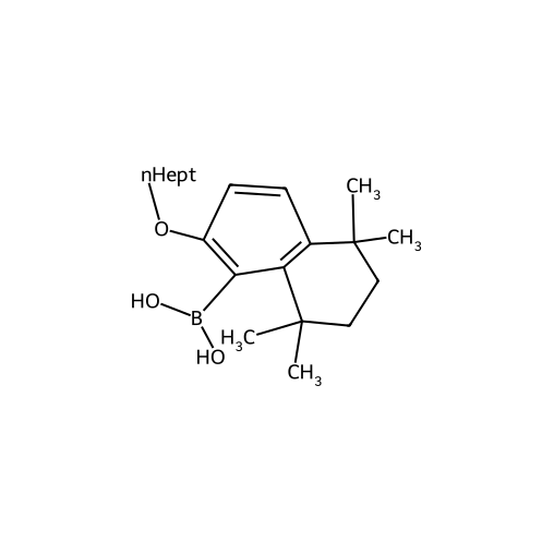 CCCCCCCOc1ccc2c(c1B(O)O)C(C)(C)CCC2(C)C